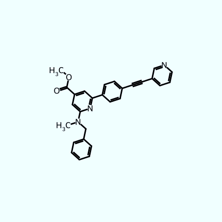 COC(=O)c1cc(-c2ccc(C#Cc3cccnc3)cc2)nc(N(C)Cc2ccccc2)c1